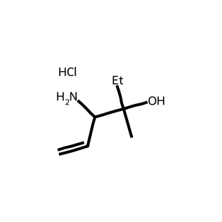 C=CC(N)C(C)(O)CC.Cl